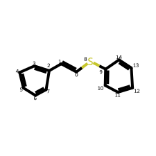 C(=Cc1ccccc1)Sc1ccccc1